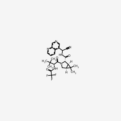 CC(C)(C)[C@H](NC(=O)C(F)(F)F)C(=O)N1C[C@H]2[C@@H]([C@H]1C(=O)NC(C#N)c1cncc3ncccc13)C2(C)C